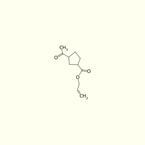 C=CCOC(=O)C1CCC(C(C)=O)C1